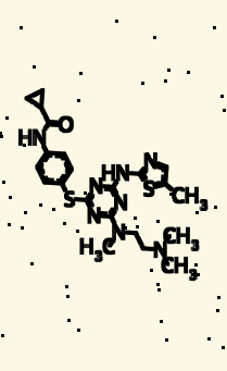 Cc1cnc(Nc2nc(Sc3ccc(NC(=O)C4CC4)cc3)nc(N(C)CCN(C)C)n2)s1